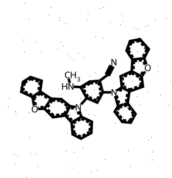 CNc1cc(C#N)c(-n2c3ccccc3c3cc4oc5ccccc5c4cc32)cc1-n1c2ccccc2c2cc3oc4ccccc4c3cc21